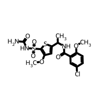 COc1ccc(Cl)cc1C(=O)NC(C)c1cc(OC)c(S(=O)(=O)NC(N)=O)s1